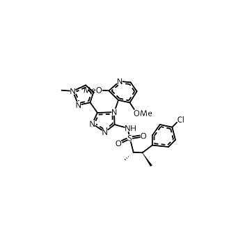 COc1ccnc(OC)c1-n1c(NS(=O)(=O)[C@@H](C)[C@H](C)c2ccc(Cl)cc2)nnc1-c1ccn(C)n1